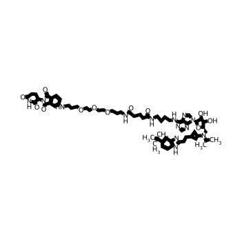 CC(C)N(C[C@H]1O[C@@H](n2cnc3c(NCCCCNC(=O)CCCC(=O)NCCCOCCOCCOCCCNc4ccc5c(c4)C(=O)N(C4CCC(=O)NC4=O)C5=O)ncnc32)C(O)C1O)C1CC(CCc2nc3cc(C(C)(C)C)ccc3[nH]2)C1